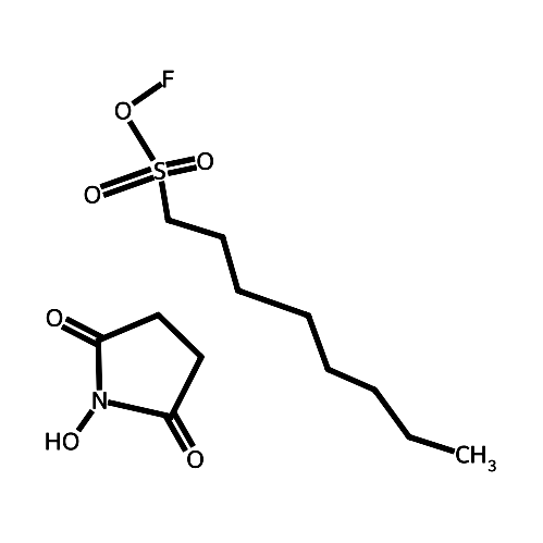 CCCCCCCCS(=O)(=O)OF.O=C1CCC(=O)N1O